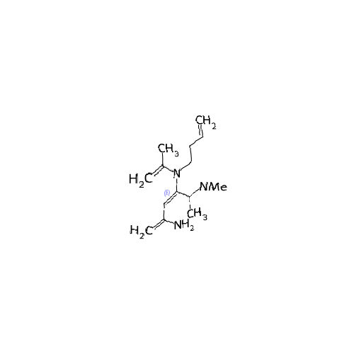 C=CCCN(C(=C)C)/C(=C/C(=C)N)C(C)NC